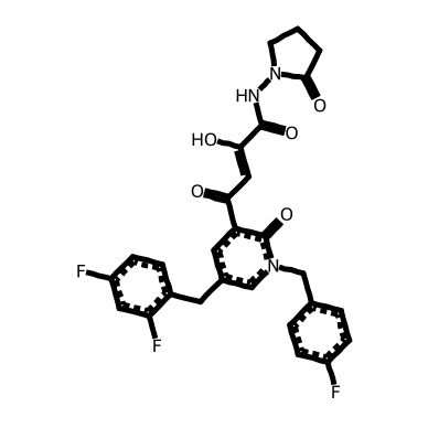 O=C(NN1CCCC1=O)C(O)=CC(=O)c1cc(Cc2ccc(F)cc2F)cn(Cc2ccc(F)cc2)c1=O